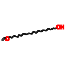 C=COCCCCCCCCCCCCCCCCCCCCO